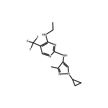 CCNc1nc(Nc2cn(C3CC3)nc2C)ncc1C(F)(F)F